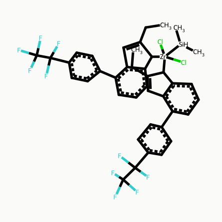 CCC1=Cc2c(-c3ccc(C(F)(F)C(F)(F)F)cc3)cccc2[CH]1[Zr]([Cl])([Cl])([CH]1C(CC)=Cc2c(-c3ccc(C(F)(F)C(F)(F)F)cc3)cccc21)[SiH](C)C